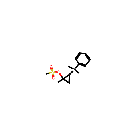 CC1(OS(C)(=O)=O)CC1[Si](C)(C)c1ccccc1